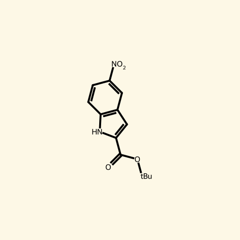 CC(C)(C)OC(=O)c1cc2cc([N+](=O)[O-])ccc2[nH]1